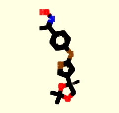 C/C(=N\O)c1ccc(Sc2cc([C@@]3(C)COC(C)(C)O3)cs2)cc1